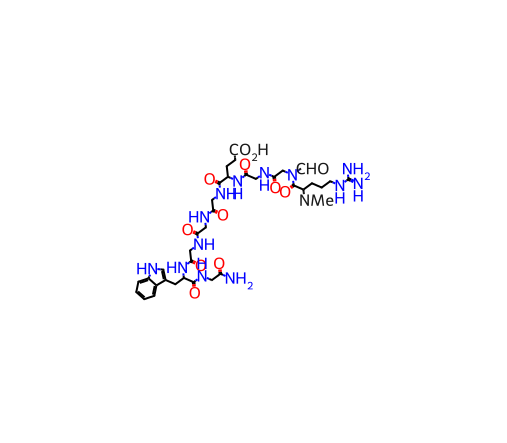 CNC(CCCNC(=N)N)C(=O)N(C=O)CC(=O)NCC(=O)NC(CCC(=O)O)C(=O)NCC(=O)NCC(=O)NCC(=O)NC(Cc1c[nH]c2ccccc12)C(=O)NCC(N)=O